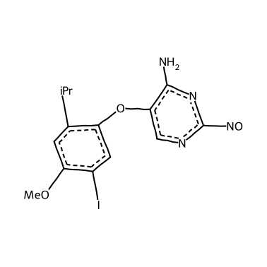 COc1cc(C(C)C)c(Oc2cnc(N=O)nc2N)cc1I